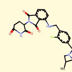 CC(C)(C)C1CN(Cc2ccc(CNc3cccc4c3C(=O)N(C3CCC(=O)NC3=O)C4=O)c(F)c2)C1